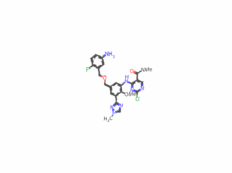 CNC(=O)c1cnc(Cl)nc1Nc1cc(COCc2cc(N)ccc2F)cc(-c2ncn(C)n2)c1OC